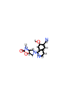 COc1cc2c(N3CC4OC(=O)N(C)C4C3)nccc2cc1C#N